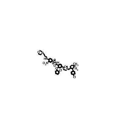 CC1(C)CCC(CN2CCN(c3ccc(C(=O)NS(=O)(=O)c4ccc(NCCCN5CCOCC5)c([N+](=O)[O-])c4)c(Oc4ccccc4Cl)c3)CC2)=C(c2ccc(Cl)cc2)C1